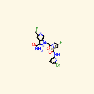 NC(=O)c1nn(CC(=O)N2C[C@H](F)C[C@H]2C(=O)Nc2cccc(Br)n2)c2cnc(CF)cc12